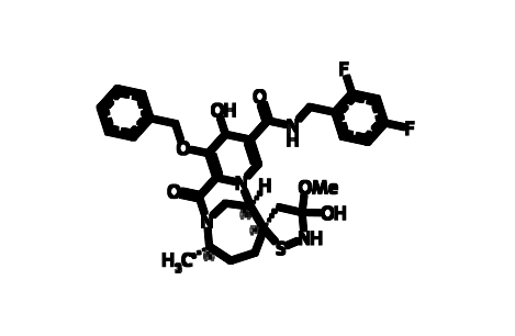 COC1(O)C[C@@]2(CC[C@H](C)N3C[C@H]2N2C=C(C(=O)NCc4ccc(F)cc4F)C(O)C(OCc4ccccc4)=C2C3=O)SN1